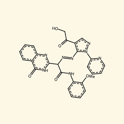 COc1ccccc1NC(=O)C(N=Nc1c(C(=O)CO)cnn1-c1ccccn1)c1nc2ccccc2c(=O)[nH]1